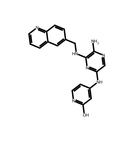 Nc1ncc(Nc2ccnc(O)c2)nc1NCc1ccc2ncccc2c1